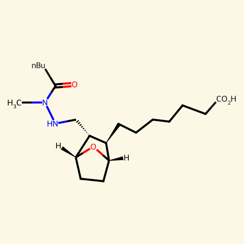 CCCCC(=O)N(C)NC[C@@H]1[C@@H](CCCCCCC(=O)O)[C@@H]2CC[C@H]1O2